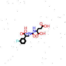 O=C(O)CCC(NC(=O)NCC(C(=O)O)c1cccc(F)c1)C(=O)O